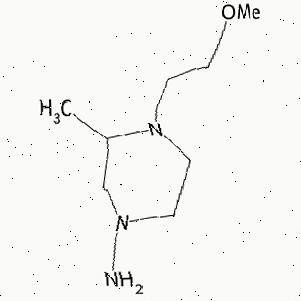 COCCN1CCN(N)CC1C